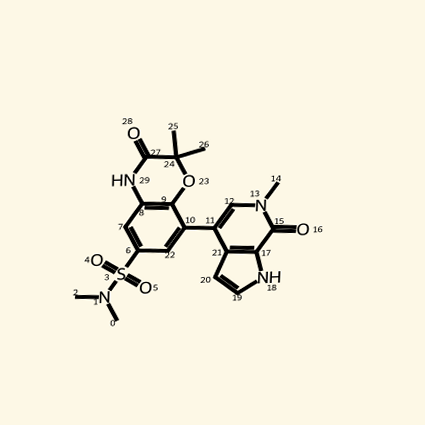 CN(C)S(=O)(=O)c1cc2c(c(-c3cn(C)c(=O)c4[nH]ccc34)c1)OC(C)(C)C(=O)N2